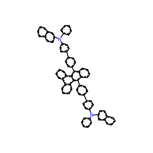 c1ccc(N(c2ccc(-c3ccc(-c4c5ccccc5c(-c5ccc(-c6ccc(N(c7ccccc7)c7ccc8ccccc8c7)cc6)cc5)c5c6ccccc6c6ccccc6c45)cc3)cc2)c2ccc3ccccc3c2)cc1